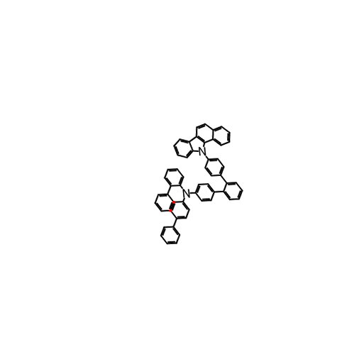 c1ccc(-c2ccc(N(c3ccc(-c4ccccc4-c4ccc(-n5c6ccccc6c6ccc7ccccc7c65)cc4)cc3)c3ccccc3-c3ccccc3)cc2)cc1